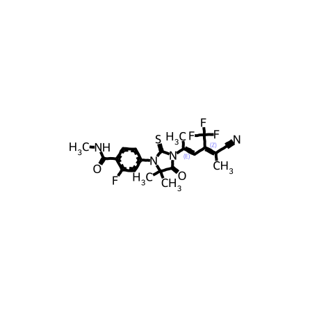 CNC(=O)c1ccc(N2C(=S)N(/C(C)=C/C(=C(\C)C#N)C(F)(F)F)C(=O)C2(C)C)cc1F